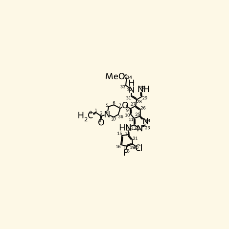 C=CC(=O)N1CCC(Oc2cc3c(Nc4ccc(F)c(Cl)c4)ncnc3cc2/C(C=N)=C/NCCOC)CC1